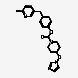 Cc1ccc(Cc2ccc(OC(=O)N3CCC(On4ccnc4)CC3)cc2)cn1